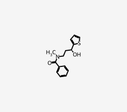 CN(CC[C@H](O)c1cccs1)C(=O)c1ccccc1